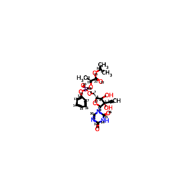 C#C[C@@]1(O)C(O)[C@@H](COP(=O)(Oc2ccccc2)O[C@@H](C)C(=O)OC(C)C)O[C@H]1n1cnc(=O)[nH]c1=O